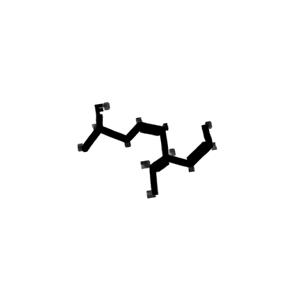 C\C=C/C(/C=C\CC(C)F)=C\C